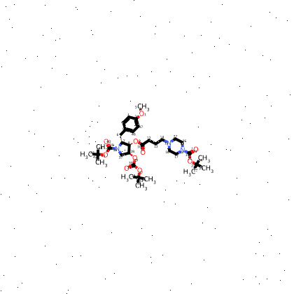 COc1ccc(C[C@@H]2[C@H](OC(=O)CCCN3CCN(C(=O)OC(C)(C)C)CC3)[C@@H](OC(=O)OC(C)(C)C)CN2C(=O)OC(C)(C)C)cc1